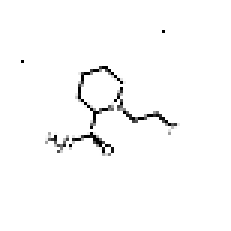 NC(=O)C1C[CH]CCN1CCF